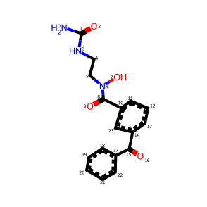 NC(=O)NCCN(O)C(=O)c1cccc(C(=O)c2ccccc2)c1